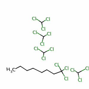 CCCCCCCC(Cl)(Cl)Cl.ClC(Cl)Cl.ClC(Cl)Cl.ClC(Cl)Cl.ClC(Cl)Cl